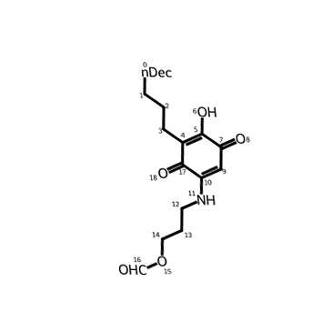 CCCCCCCCCCCCCC1=C(O)C(=O)C=C(NCCCOC=O)C1=O